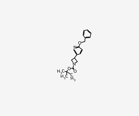 CC(C)(C)OC(=O)N1CC(c2ccc(OCc3ccccc3)nc2)C1